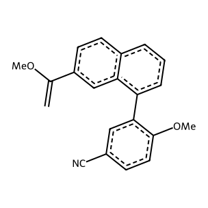 C=C(OC)c1ccc2cccc(-c3cc(C#N)ccc3OC)c2c1